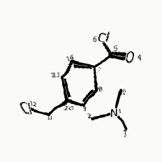 CN(C)C.O=C(Cl)c1ccc(CCl)cc1